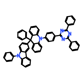 c1ccc(-c2nc(-c3ccccc3)nc(-c3ccc(N4c5ccccc5C(c5ccccc5)(c5ccc6c(c5)c5ccccc5n6-c5ccccc5)c5ccccc54)cc3)n2)cc1